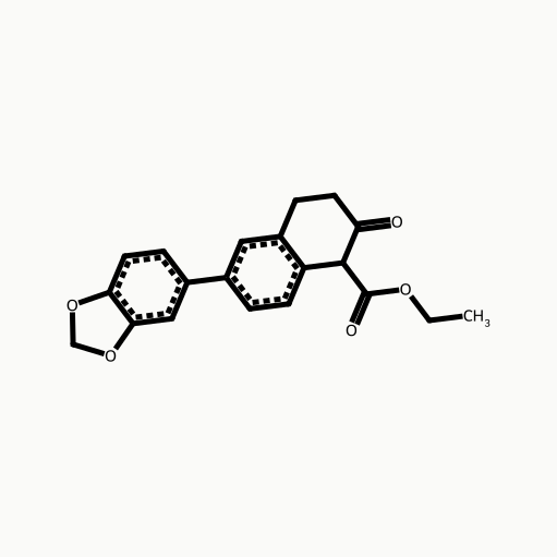 CCOC(=O)C1C(=O)CCc2cc(-c3ccc4c(c3)OCO4)ccc21